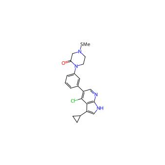 CSN1CCN(c2cccc(-c3cnc4[nH]cc(C5CC5)c4c3Cl)c2)C(=O)C1